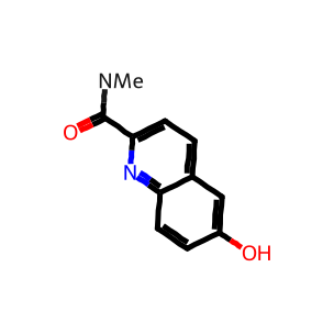 CNC(=O)c1ccc2cc(O)ccc2n1